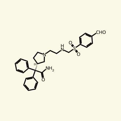 NC(=O)C(c1ccccc1)(c1ccccc1)[C@@H]1CCN(CCNCS(=O)(=O)c2ccc(C=O)cc2)C1